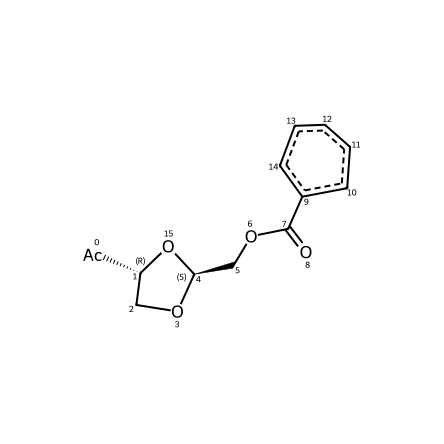 CC(=O)[C@H]1CO[C@H](COC(=O)c2ccccc2)O1